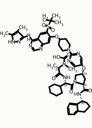 Cc1[nH]nc(Nc2ncnc3cc(OC4CCN(c5ncc(O[C@H]6C[C@@H](C(=O)N[C@@H]7CCCc8ccccc87)N(C(=O)[C@@H](NC(=O)[C@H](C)N(C)C(=O)O)C7CCCCC7)C6)cn5)CC4)c(S(=O)(=O)C(C)(C)C)cc23)c1C